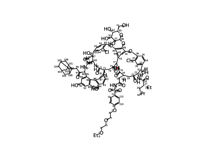 CCOCCOCCOc1ccc(S(=O)(=O)NC(=O)C[C@@H]2CC(=O)[C@H](NC(=O)[C@H](CC)CC(C)C)[C@H](O)c3ccc(c(Cl)c3)Oc3cc4cc(c3O[C@@H]3O[C@H](CO)[C@@H](O)[C@H](O)[C@H]3O)Oc3ccc(cc3Cl)[C@@H](O)[C@@H]3NC(=O)[C@H](CC(=O)[C@@H]4NC2=O)c2ccc(O)c(c2)-c2c(O)cc(O)cc2[C@@H](C(=O)CC2C4CC5CC(C4)CC2C5)NC3=O)cc1